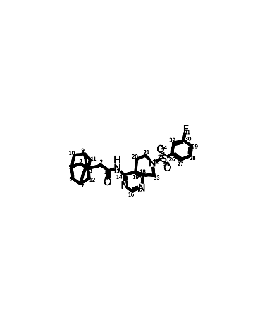 O=C(CC12CC3CC(CC(C3)C1)C2)Nc1ncnc2c1CCN(S(=O)(=O)c1cccc(F)c1)C2